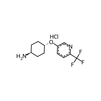 Cl.N[C@H]1CC[C@H](Oc2ccc(C(F)(F)F)nc2)CC1